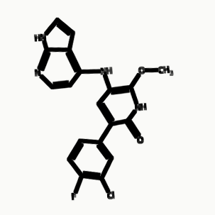 COc1[nH]c(=O)c(-c2ccc(F)c(Cl)c2)cc1Nc1ccnc2[nH]ccc12